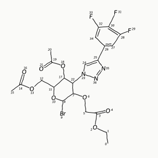 CCOC(=O)COC1C(Br)OC(COC(C)=O)C(OC(C)=O)C1n1cc(-c2cc(F)c(F)c(F)c2)nn1